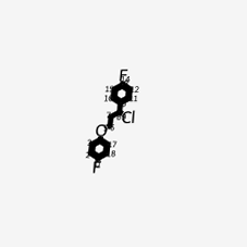 Fc1ccc(OCCC(Cl)c2ccc(F)cc2)cc1